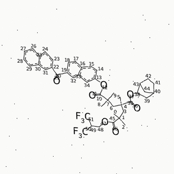 CC(C)(CC(C)(CC(C)(C)C(=O)Oc1ccc2ccc(C(=O)c3ccc4ccccc4c3)cc2c1)C(=O)OC1CC2CCC1C2)C(=O)OCC(C(F)(F)F)C(F)(F)F